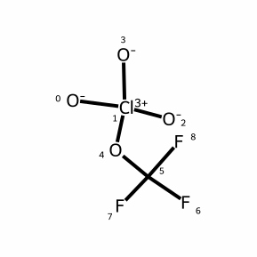 [O-][Cl+3]([O-])([O-])OC(F)(F)F